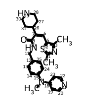 Cc1nc(C)c(C=C(C(=O)NCc2ccc(N(C)c3ccncc3)cc2)C2CCNCC2)s1